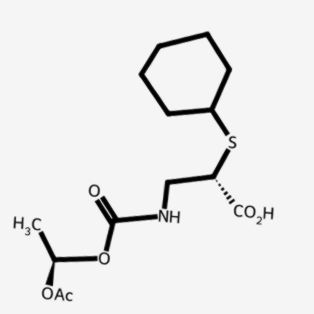 CC(=O)O[C@@H](C)OC(=O)NC[C@H](SC1CCCCC1)C(=O)O